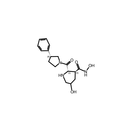 O=C(NO)[C@H]1CC(O)CN[C@@H]1C(=O)N1CC[C@H](c2ccccc2)C1